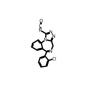 O=C=Nc1nnc2n1-c1cc[c]cc1C(c1ccccc1Cl)=NC2